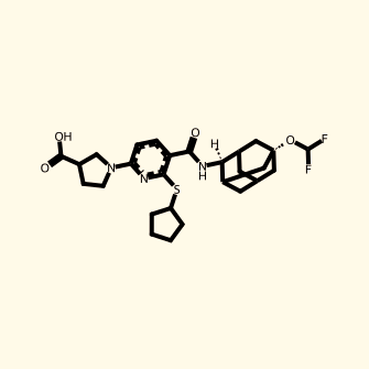 O=C(N[C@H]1C2CC3CC1C[C@](OC(F)F)(C3)C2)c1ccc(N2CCC(C(=O)O)C2)nc1SC1CCCC1